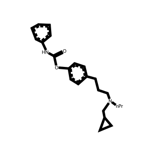 CCCN(CCCc1ccc(OC(=O)Nc2ccccc2)cc1)CC1CC1